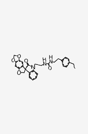 CCc1ccc(CCNC(=O)NCCN2C(=O)C3(COc4cc5c(cc43)OCO5)c3ccccc32)cc1